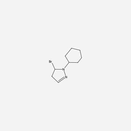 BrC1CC=NN1C1CCCCC1